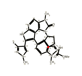 COC(=O)N[C@@H]1CC[C@@H](n2c(=O)n(C)c3cnc4[nH]c(-c5cn(C)nc5F)c(-c5ccc6c(cnn6C)c5)c4c32)C1